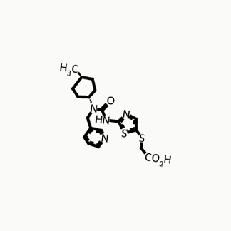 C[C@H]1CC[C@H](N(Cc2cccnc2)C(=O)Nc2ncc(SCC(=O)O)s2)CC1